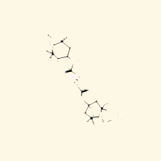 CCCCCCCCON1C(C)(C)CC(OC(=O)/N=N/C(=O)OC2CC(C)(C)N(OCCCCCCCC)C(C)(C)C2)CC1(C)C